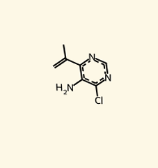 C=C(C)c1ncnc(Cl)c1N